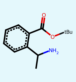 CC(N)c1ccccc1C(=O)OC(C)(C)C